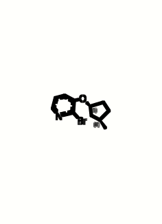 C[C@@H]1CC[C@H](Oc2cccnc2Br)C1